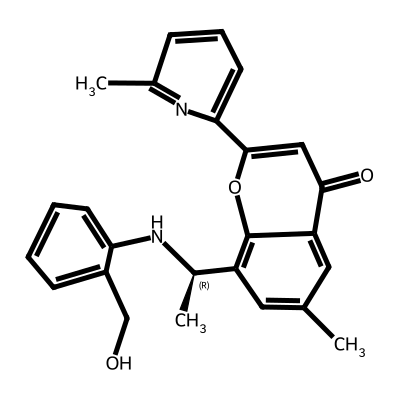 Cc1cc([C@@H](C)Nc2ccccc2CO)c2oc(-c3cccc(C)n3)cc(=O)c2c1